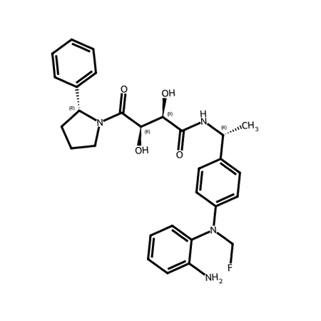 C[C@@H](NC(=O)[C@H](O)[C@@H](O)C(=O)N1CCC[C@@H]1c1ccccc1)c1ccc(N(CF)c2ccccc2N)cc1